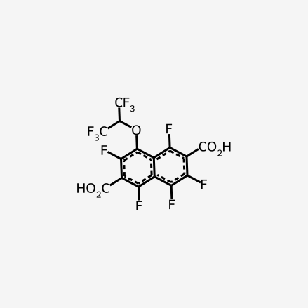 O=C(O)c1c(F)c(OC(C(F)(F)F)C(F)(F)F)c2c(F)c(C(=O)O)c(F)c(F)c2c1F